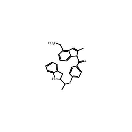 Cc1cc2c(CC(=O)O)cccc2n1C(=O)c1ccc(OC(C)C2Cc3ccccc3N2)cc1